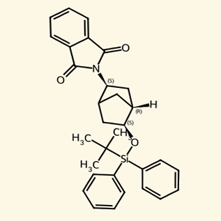 CC(C)(C)[Si](O[C@H]1CC2C[C@@H]1C[C@@H]2N1C(=O)c2ccccc2C1=O)(c1ccccc1)c1ccccc1